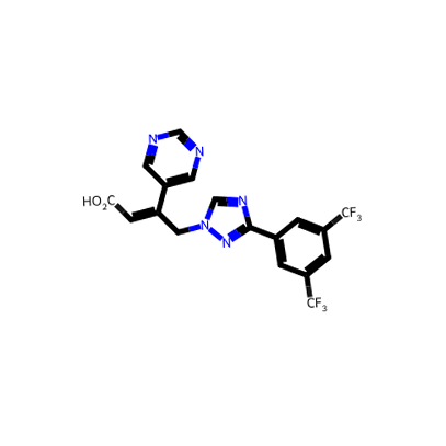 O=C(O)C=C(Cn1cnc(-c2cc(C(F)(F)F)cc(C(F)(F)F)c2)n1)c1cncnc1